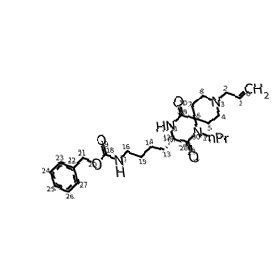 C=CCN1CCC2(CC1)C(=O)N[C@@H](CCCCNC(=O)OCc1ccccc1)C(=O)N2CCC